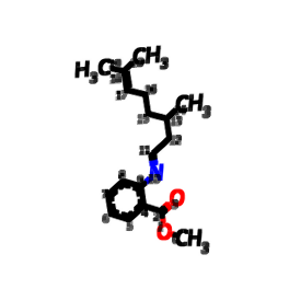 COC(=O)c1ccccc1N=CCC(C)CCC=C(C)C